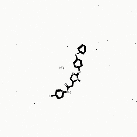 CN1C(=Nc2ccc(Oc3ccccc3)cc2)SCC1CC(=O)Nc1ccc(Cl)cc1.Cl